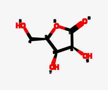 O=C1O[C@H](CO)[C@H](O)[C@H]1O